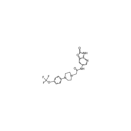 O=C(CN1CCN(c2ccc(OC(F)(F)F)cc2)CC1)Nc1cnc2[nH]c(=O)oc2c1